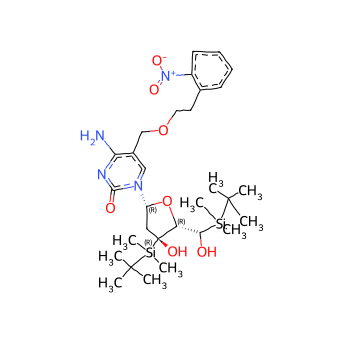 CC(C)(C)[Si](C)(C)C(O)[C@H]1O[C@@H](n2cc(COCCc3ccccc3[N+](=O)[O-])c(N)nc2=O)C[C@@]1(O)[Si](C)(C)C(C)(C)C